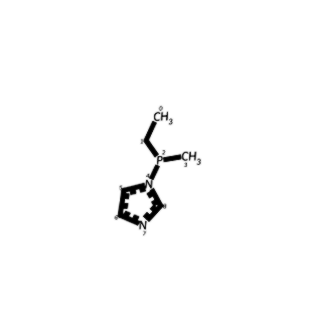 CCP(C)n1ccnc1